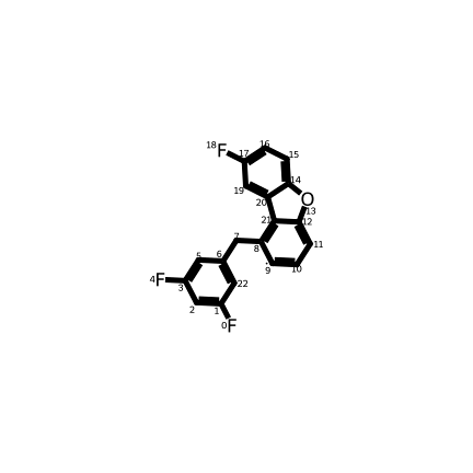 Fc1cc(F)cc(Cc2[c]ccc3oc4ccc(F)cc4c23)c1